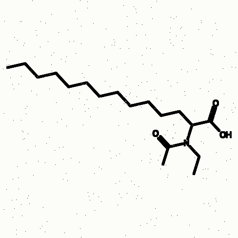 CCCCCCCCCCCCC(C(=O)O)N(CC)C(C)=O